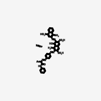 CC(=O)C(N=Nc1ccc(N=Nc2c(S(=O)(=O)O)cc3cc(S(=O)(=O)O)c(N=Nc4cc(S(=O)(=O)O)c5ccccc5c4N)c(O)c3c2N)cc1)C(=O)Nc1ccccc1.[Na].[Na].[Na]